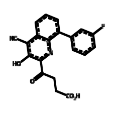 N#Cc1c(O)c(C(=O)CCC(=O)O)nc2c(-c3cccc(F)c3)cccc12